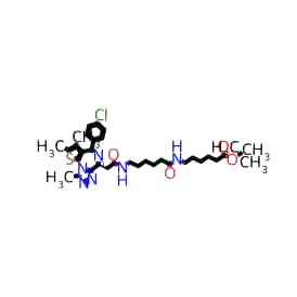 Cc1sc2c(c1C)C(c1ccc(Cl)cc1)=N[C@@H](CC(=O)NCCCCCC(=O)NCCCCCC(=O)OC(C)(C)C)c1nnc(C)n1-2